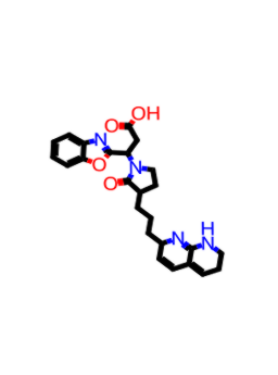 O=C(O)CC(c1nc2ccccc2o1)N1CCC(CCCC2C=CC3=CCCNC3=N2)C1=O